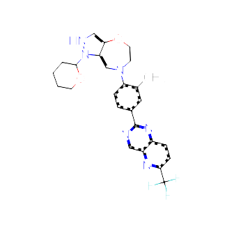 Cc1cc(-c2ncc3nc(C(F)(F)F)ccc3n2)ccc1N1C=C2C(=CNN2C2CCCCO2)OCC1